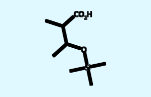 CC(O[Si](C)(C)C)C(C)C(=O)O